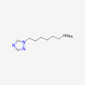 CCCCCCCCCCCCn1cncn1